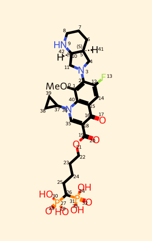 COc1c(N2C[C@@H]3CCCN[C@@H]3C2)c(F)cc2c(=O)c(C(=O)OCCCCC(P(=O)(O)O)P(=O)(O)O)cn(C3CC3)c12